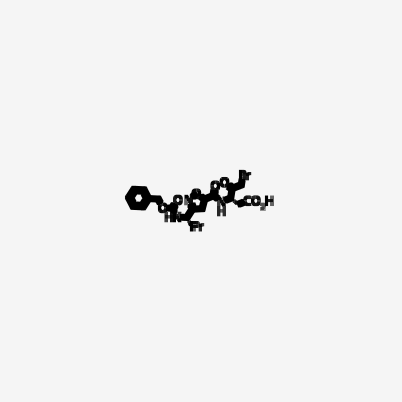 CC(C)[C@H](NC(=O)OCc1ccccc1)C1=NOC(C(=O)N[C@@H](CC(=O)O)C(=O)CBr)C1